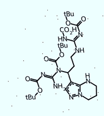 CC(C)(C)OC(=O)N=C(NCCC(c1cnn2c1NCCC2)N(C(=O)OC(C)(C)C)C(N)=NC(=O)OC(C)(C)C)NC(=O)O